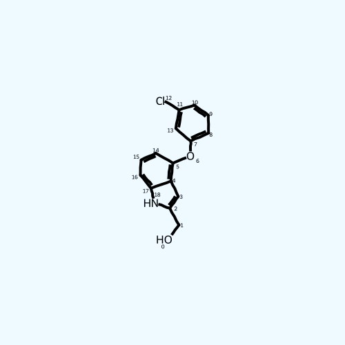 OCc1cc2c(Oc3cccc(Cl)c3)cccc2[nH]1